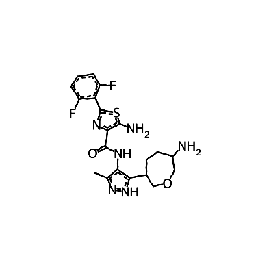 Cc1n[nH]c(C2CCC(N)COC2)c1NC(=O)c1nc(-c2c(F)cccc2F)sc1N